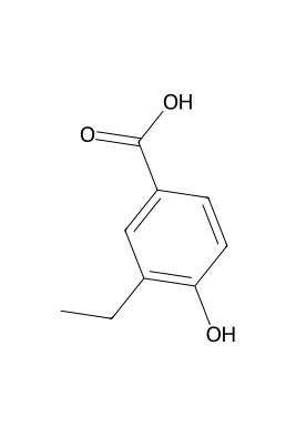 CCc1cc(C(=O)O)ccc1O